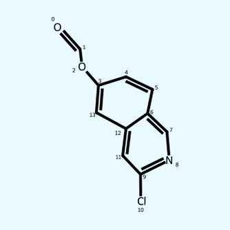 O=COc1ccc2cnc(Cl)cc2c1